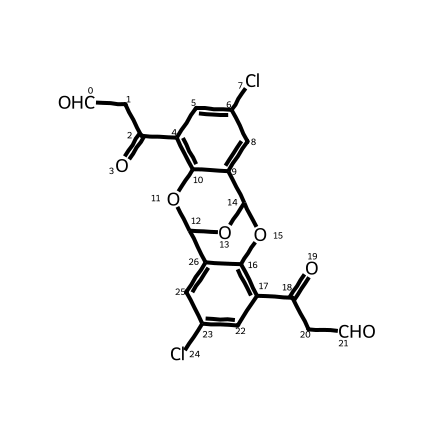 O=CCC(=O)c1cc(Cl)cc2c1OC1OC2Oc2c(C(=O)CC=O)cc(Cl)cc21